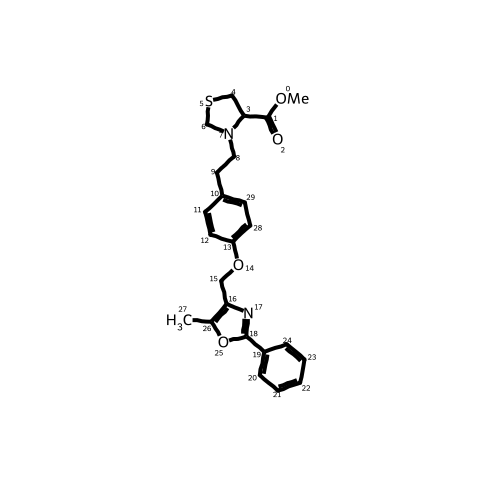 COC(=O)C1CSCN1CCc1ccc(OCc2nc(-c3ccccc3)oc2C)cc1